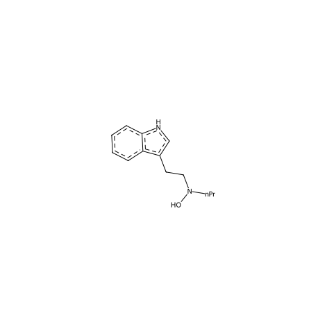 CCCN(O)CCc1c[nH]c2ccccc12